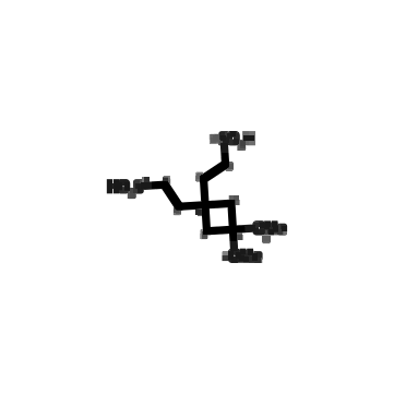 COC1(OC)CC(CCS(=O)(=O)O)(CCS(=O)(=O)O)C1